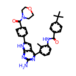 Cc1c(NC(=O)c2ccc(C(C)(C)C)cc2)cccc1-c1nc(N)nc2[nH]c(-c3ccc(C(=O)N4CCOCC4)cc3)cc12